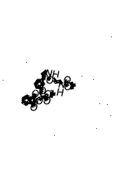 CC(C)(C)OC(=O)NCCCON1NC=CC1c1cccc(OC[C@H](ON2C(=O)c3ccccc3C2=O)C(=O)OC(C)(C)C)c1